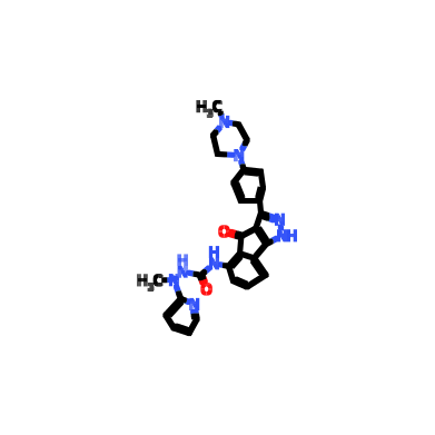 CN1CCN(c2ccc(-c3n[nH]c4c3C(=O)c3c(NC(=O)NN(C)c5ccccn5)cccc3-4)cc2)CC1